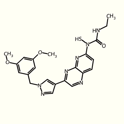 CCNC(=O)N(S)c1ccc2ncc(-c3cnn(Cc4cc(OC)cc(OC)c4)c3)nc2n1